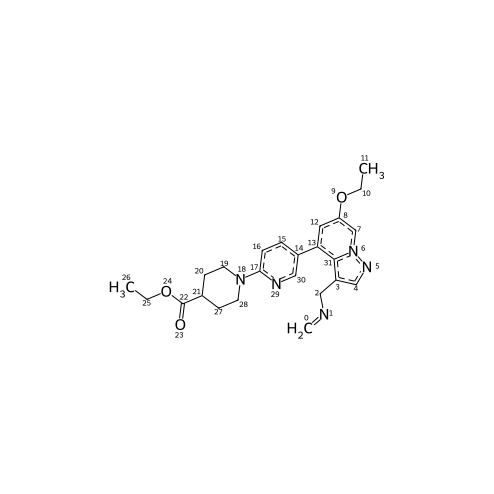 C=NCc1cnn2cc(OCC)cc(-c3ccc(N4CCC(C(=O)OCC)CC4)nc3)c12